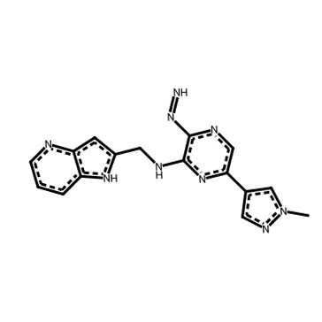 Cn1cc(-c2cnc(N=N)c(NCc3cc4ncccc4[nH]3)n2)cn1